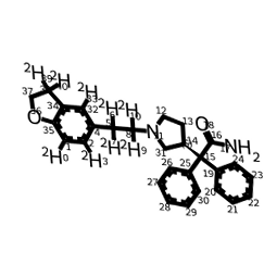 [2H]c1c([2H])c(C([2H])([2H])C([2H])([2H])N2CC[C@@H](C(C(N)=O)(c3ccccc3)c3ccccc3)C2)c([2H])c2c1OCC2([2H])[2H]